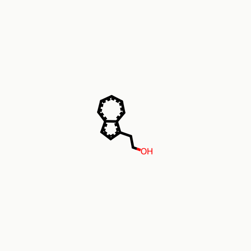 OCCc1ccc2cccccc1-2